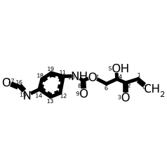 C=CC(=O)C(O)COC(=O)Nc1ccc(N=C=O)cc1